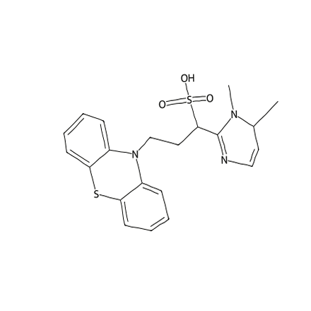 CC1C=CN=C(C(CCN2c3ccccc3Sc3ccccc32)S(=O)(=O)O)N1C